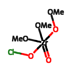 CO[O][Zr](=[O])([O]C)([O]C)[O]Cl